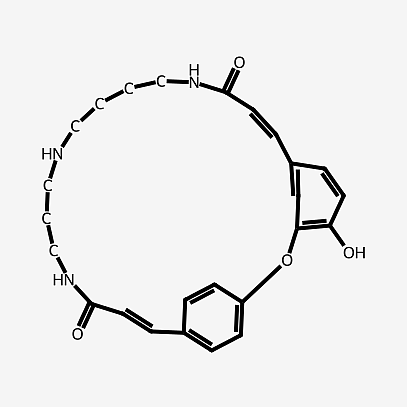 O=C1/C=C\c2ccc(O)c(c2)Oc2ccc(cc2)/C=C/C(=O)NCCCNCCCCN1